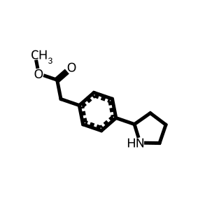 COC(=O)Cc1ccc(C2CCCN2)cc1